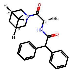 CC(C)(C)[C@H](NC(=O)C(c1ccccc1)c1ccccc1)C(=O)N1C[C@H]2C[C@@H](C1)C2(C)C